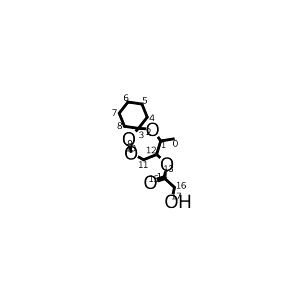 CC1OC2(CCCCC2)OOCC1OC(=O)CO